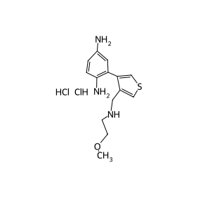 COCCNCc1cscc1-c1cc(N)ccc1N.Cl.Cl